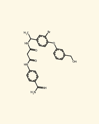 CC(NC(=O)CC(=O)Nc1ccc(C(=N)N)cc1)c1ccc(Oc2cccc(CO)c2)c(Br)c1